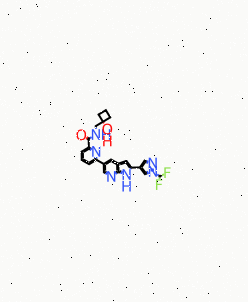 O=C(NCC1(O)CCC1)c1cccc(-c2cnc3[nH]c(-c4cnn(C(F)F)c4)cc3c2)n1